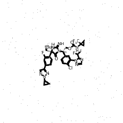 CC(C)(C)C[C@]1(c2ccc(-c3cnn(C4CC4)n3)cc2F)NC(=N)N([C@H](COC(=O)NC2(C(F)(F)F)CC2)c2ccc(Cl)c(-n3ncnc3C(F)F)c2)C1=O